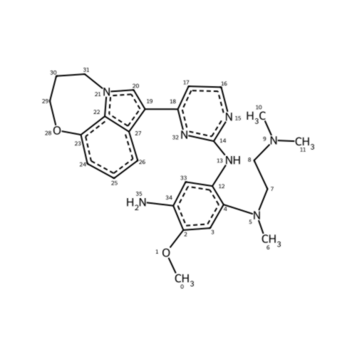 COc1cc(N(C)CCN(C)C)c(Nc2nccc(-c3cn4c5c(cccc35)OCCC4)n2)cc1N